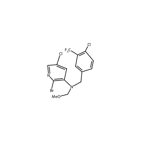 COCN(Cc1ccc(Cl)c(C(F)(F)F)c1)c1cc(Cl)cnc1Br